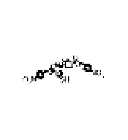 C[C@H]1CN(C(=O)OCc2ccc([N+](=O)[O-])cc2)CCN1C(=O)[C@@H]1C[C@H](S)CN1C(=O)OCc1ccc([N+](=O)[O-])cc1